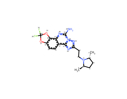 C[C@@H]1CC[C@@H](C)N1CCc1nc2c3ccc4c(c3nc(N)n2n1)OC(F)(F)O4